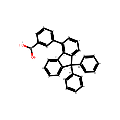 OB(O)c1cccc(-c2cccc3c2-c2ccccc2C3(c2ccccc2)c2ccccc2)c1